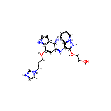 N=C1/C(=N\c2c(OCCO)nn3ccccc23)C=C(OCCCn2ccnc2)c2[nH]ccc21